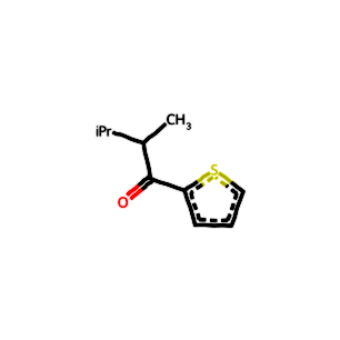 CC(C)C(C)C(=O)c1cccs1